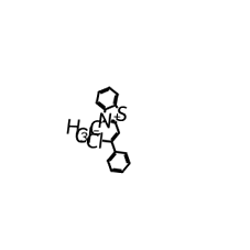 C[n+]1c(/C=C(\Cl)c2ccccc2)sc2ccccc21.[Cl-]